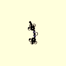 C#CCOc1c(OC)cc(/C=C/C(=O)/C=C/c2cc(OC)c(OC)c(OC)c2)cc1OC